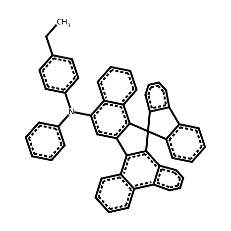 CCc1ccc(N(c2ccccc2)c2cc3c(c4ccccc24)C2(c4ccccc4-c4ccccc42)c2c-3c3ccccc3c3ccccc23)cc1